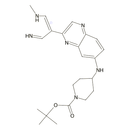 CN/C=C(\C=N)c1cnc2ccc(NC3CCN(C(=O)OC(C)(C)C)CC3)cc2n1